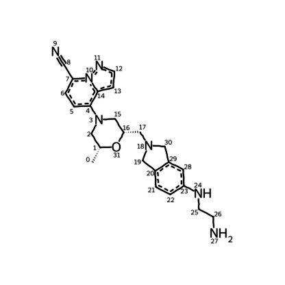 C[C@@H]1CN(c2ccc(C#N)n3nccc23)C[C@H](CN2Cc3ccc(NCCN)cc3C2)O1